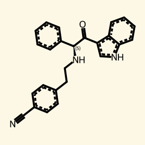 N#Cc1ccc(CCN[C@H](C(=O)c2c[nH]c3ccccc23)c2ccccc2)cc1